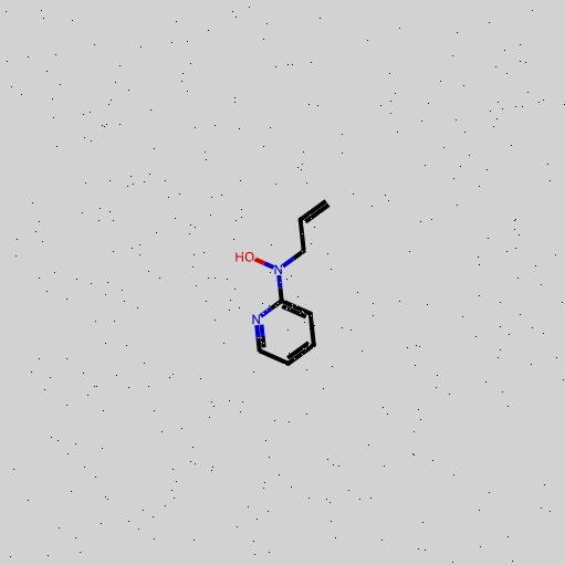 C=CCN(O)c1ccccn1